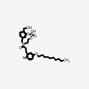 CCCCCCCCCCOc1cccc(CCC(=O)N(CCOP(=O)(O)O)Cc2ccc(CO)cc2)c1.N